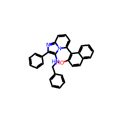 Oc1ccc2ccccc2c1-c1cccc2nc(-c3ccccc3)c(NCc3ccccc3)n12